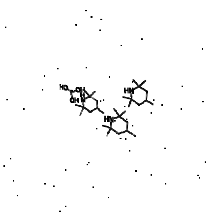 CC1CC(C)(C)NC(C)(C)C1.CC1CC(C)(C)NC(C)(C)C1.CC1CC(C)(C)NC(C)(C)C1.OP(O)O